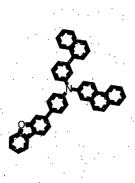 c1cc(-c2cccc3ccccc23)cc(N(c2ccc(-c3ccc4c(c3)oc3ccccc34)cc2)c2ccc3c(ccc4ccccc43)c2)c1